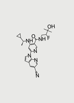 C[C@H](Nc1cc(-n2ccc3cc(C#N)cnc32)ncc1C(=O)NCC(F)C(C)(C)O)C1CC1